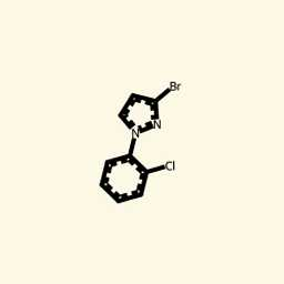 Clc1ccccc1-n1ccc(Br)n1